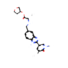 Cc1cc(-c2nc3cc(CN[C@H](C(=O)OC4CCOC4)C(C)C)ccc3n2C)cn(C)c1=O.Cl